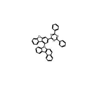 c1ccc(-c2nc(-c3ccccc3)nc(-c3cc(-n4c5ccccc5c5c6ccccc6ccc54)c4c(c3)oc3ccccc34)n2)cc1